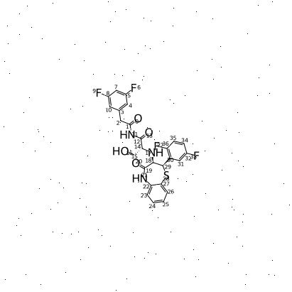 O=C(Cc1cc(F)cc(F)c1)NC(=O)[C@@H](CO)N[C@@H]1C(=O)Nc2ccccc2S[C@@H]1c1cc(F)ccc1F